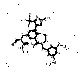 CNC(=N)N(C=N)Cc1cc2c(c(-c3cn(C)nc3C(F)(F)F)c1)OCCN(Cc1cc(OC)cc(OC)c1)C2=O